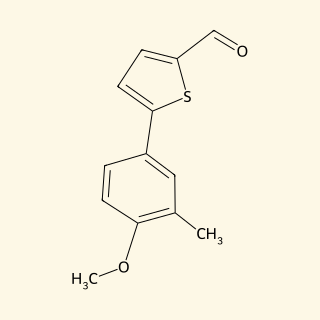 COc1ccc(-c2ccc(C=O)s2)cc1C